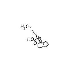 CCCCCCN(ON1CC=Cc2ccccc21)C(=O)O